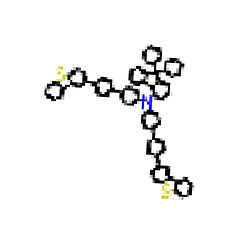 c1ccc(C2(c3ccccc3)c3ccccc3-c3c(N(c4ccc(-c5ccc(-c6ccc7sc8ccccc8c7c6)cc5)cc4)c4ccc(-c5ccc(-c6ccc7sc8ccccc8c7c6)cc5)cc4)cccc32)cc1